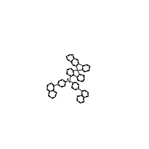 c1ccc2c(c1)-c1cc3ccccc3cc1C21c2ccccc2-c2c(N(c3ccc(-c4cccc5ccccc45)cc3)c3ccc(-c4cccc5ccccc45)cc3)cccc21